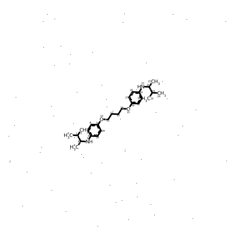 CC(C)C(C)Nc1ccc(OCCCCOc2ccc(NC(C)C(C)C)cc2)cc1